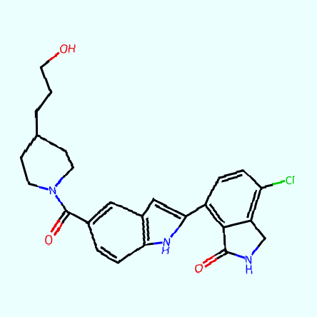 O=C1NCc2c(Cl)ccc(-c3cc4cc(C(=O)N5CCC(CCCO)CC5)ccc4[nH]3)c21